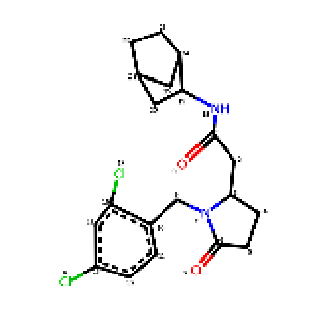 O=C(CC1CCC(=O)N1Cc1ccc(Cl)cc1Cl)NC1CC2CCC1C2